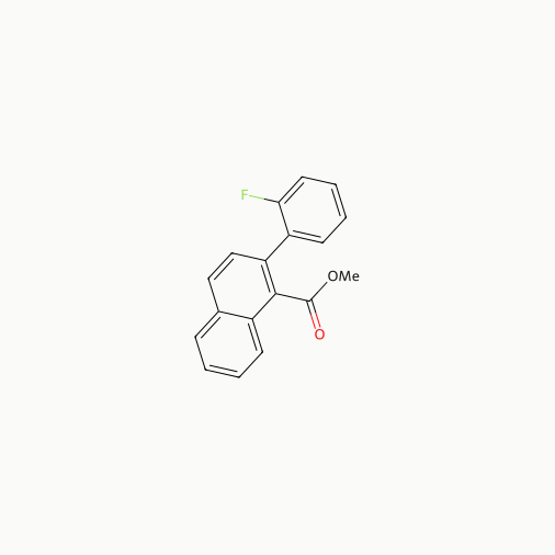 COC(=O)c1c(-c2ccccc2F)ccc2ccccc12